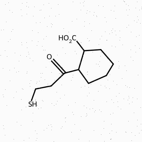 O=C(O)C1CCCCC1C(=O)CCS